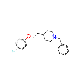 Fc1ccc(OCCC2CCN(Cc3ccccc3)CC2)cc1